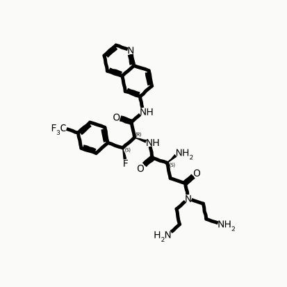 NCCN(CCN)C(=O)C[C@H](N)C(=O)N[C@H](C(=O)Nc1ccc2ncccc2c1)[C@@H](F)c1ccc(C(F)(F)F)cc1